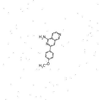 COc1ccc(-c2cc3cnccc3c(N)n2)cc1